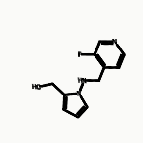 OCc1cccn1NCc1ccncc1F